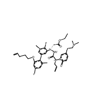 C=CCCCOc1cc(F)cc(C)c1-c1cc(C)c(F)c([C@H](CC(=O)OCC)NC(=O)[C@H](CC=C)n2cc(CCN(C)C)ccc2=O)c1